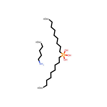 CCCCCCCCCCCCCCCCCCP(O)(O)(O)CCCCCCCCCCCCCCCCCC.CCCCCCCCCCCCCCN